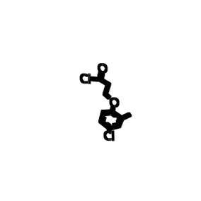 Cc1cc(Cl)ccc1OCCC(=O)Cl